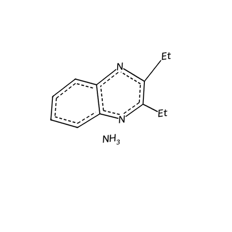 CCc1nc2ccccc2nc1CC.N